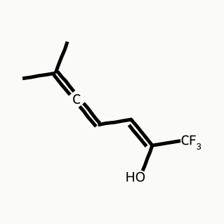 CC(C)=C=C/C=C(\O)C(F)(F)F